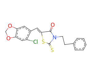 O=C1C(=Cc2cc3c(cc2Cl)OCO3)SC(=S)N1CCc1ccccc1